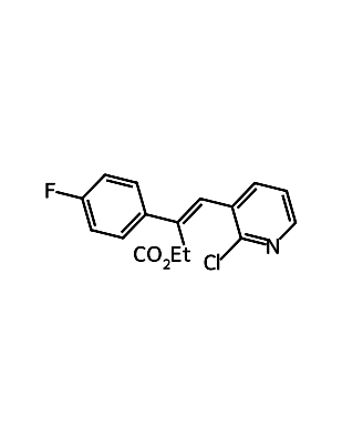 CCOC(=O)C(=Cc1cccnc1Cl)c1ccc(F)cc1